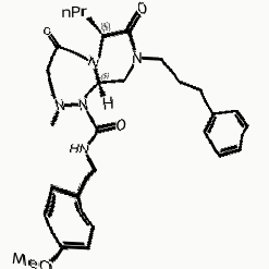 CCC[C@H]1C(=O)N(CCCc2ccccc2)C[C@H]2N1C(=O)CN(C)N2C(=O)NCc1ccc(OC)cc1